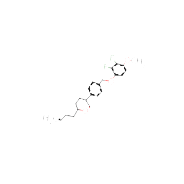 C=CCCC1CCC(c2ccc(COc3ccc(OC)c(F)c3F)cc2)CO1